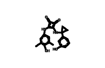 Cc1cc(Nc2c(NC3(c4cccc(O)c4)CC3)c(=O)c2=O)cc(C)c1O